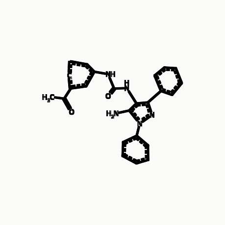 CC(=O)c1cccc(NC(=O)Nc2c(-c3ccccc3)nn(-c3ccccc3)c2N)c1